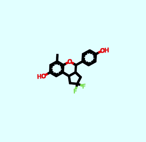 Cc1cc(O)cc2c1OC(c1ccc(O)cc1)C1CC(F)(F)CC21